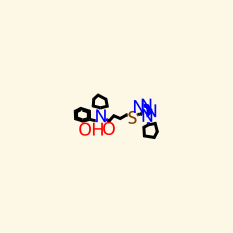 O=C(CCCSc1nnnn1C1CCCCC1)N(Cc1ccccc1O)C1CCCCC1